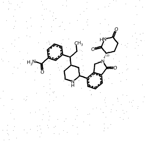 CCC(c1cccc(C(N)=O)c1)C1CCNC(c2cccc3c2CN([C@H]2CCC(=O)NC2=O)C3=O)C1